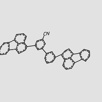 N#Cc1cc(-c2cccc(-c3ccc4c5c(cccc35)-c3ccccc3-4)c2)cc(-c2ccc3c4c(cccc24)-c2ccccc2-3)c1